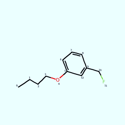 CCCCOc1cccc(CF)c1